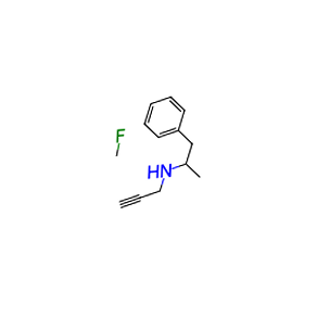 C#CCNC(C)Cc1ccccc1.CF